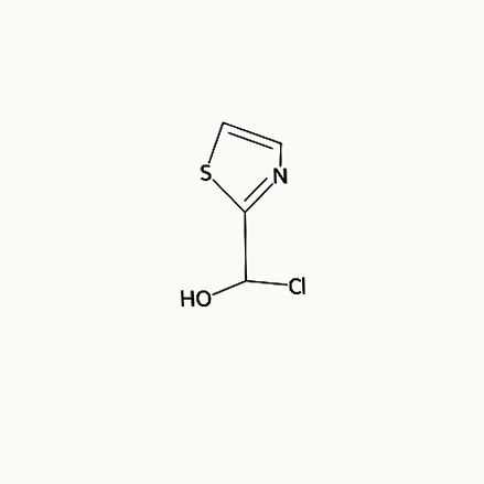 OC(Cl)c1nccs1